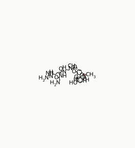 CN(CCNC(=O)[C@H](CCCNC(=N)N)NC(=O)CN)C(=O)Oc1ccc2c3c1O[C@H]1[C@@H](O)C=C[C@H]4[C@@H](C2)N(C)CC[C@@]341